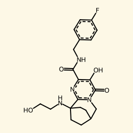 O=C(NCc1ccc(F)cc1)c1nc2n(c(=O)c1O)CC1CCC2(NCCO)CC1